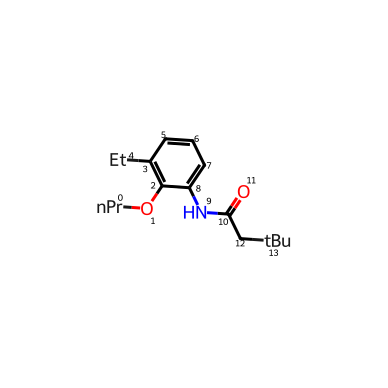 CCCOc1c(CC)cccc1NC(=O)CC(C)(C)C